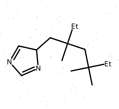 CCC(C)(C)CC(C)(CC)CC1C=NC=N1